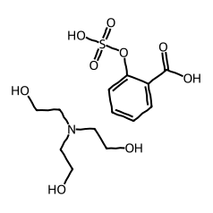 O=C(O)c1ccccc1OS(=O)(=O)O.OCCN(CCO)CCO